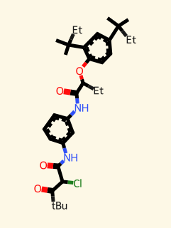 CCC(Oc1ccc(C(C)(C)CC)cc1C(C)(C)CC)C(=O)Nc1cccc(NC(=O)C(Cl)C(=O)C(C)(C)C)c1